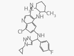 CC1CCCC(C)C1Nc1c(C#N)cnc2c(Cl)cc(NC(c3ccc(F)cc3)c3cn(C4CC4)nn3)cc12